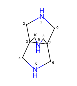 C1NCC23CNCC12CNC3